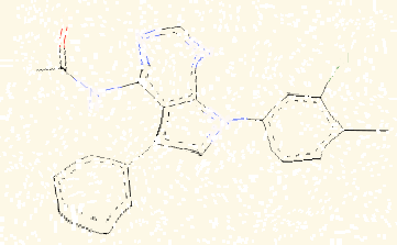 CCC(=O)Nc1ncnc2c1c(-c1ccccc1)cn2-c1ccc(C)c(Cl)c1